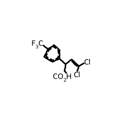 O=C(O)CC(C=C(Cl)Cl)c1ccc(C(F)(F)F)cc1